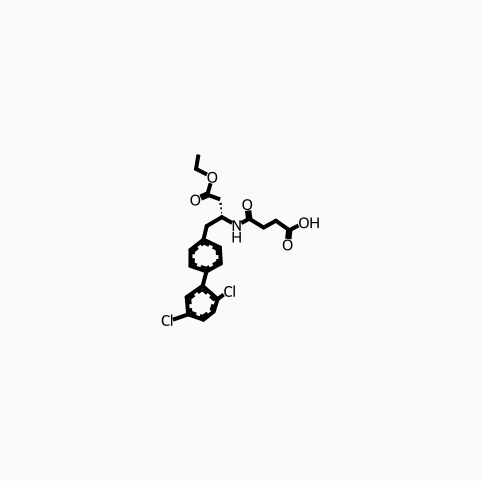 CCOC(=O)C[C@@H](Cc1ccc(-c2cc(Cl)ccc2Cl)cc1)NC(=O)CCC(=O)O